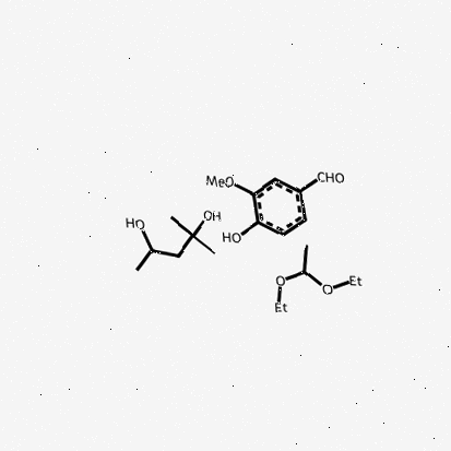 CC(O)CC(C)(C)O.CCOC(C)OCC.COc1cc(C=O)ccc1O